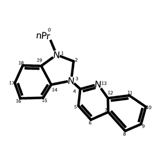 CCCN1CN(c2ccc3ccccc3n2)c2ccccc21